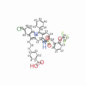 O=C(O)c1ccc(CCCc2c(CCNS(=O)(=O)Cc3ccccc3OC(F)(F)F)n(C(c3ccccc3)c3ccccc3)c3ccc(Cl)cc23)cc1